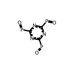 O=Pc1nc(P=O)nc(P=O)n1